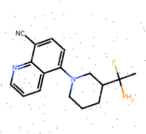 CC(F)(P)C1CCCN(c2ccc(C#N)c3ncccc23)C1